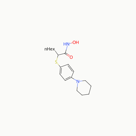 CCCCCCC(Sc1ccc(N2CCCCC2)cc1)C(=O)NO